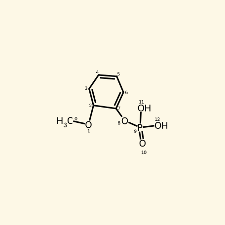 COc1ccccc1OP(=O)(O)O